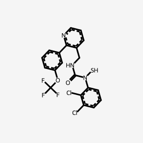 O=C(NCc1cccnc1-c1cccc(OC(F)(F)F)c1)N(S)c1cccc(Cl)c1Cl